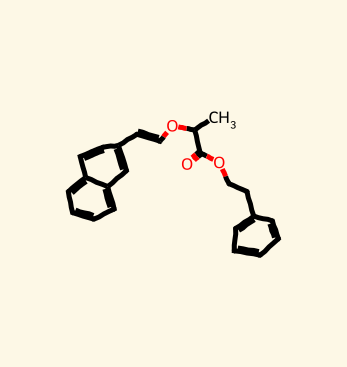 CC(OC=Cc1ccc2ccccc2c1)C(=O)OCCc1ccccc1